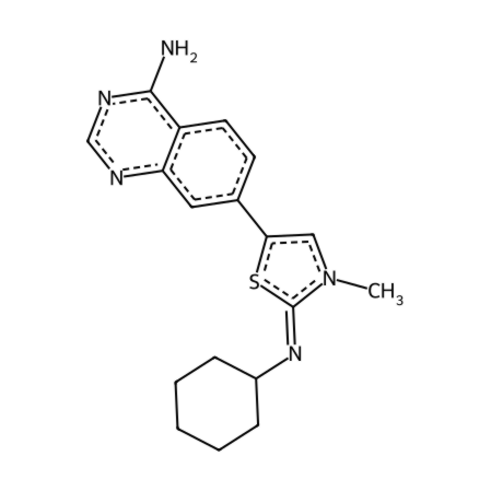 Cn1cc(-c2ccc3c(N)ncnc3c2)sc1=NC1CCCCC1